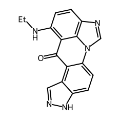 CCNc1ccc2ncn3c4ccc5[nH]ncc5c4c(=O)c1c23